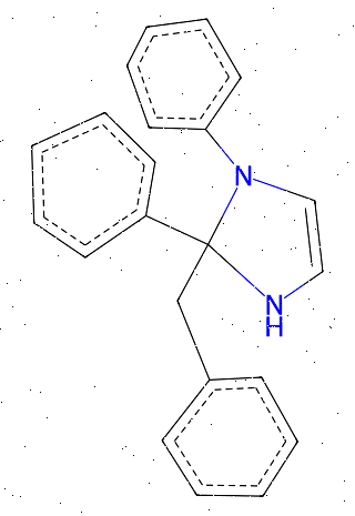 C1=CN(c2ccccc2)C(Cc2ccccc2)(c2ccccc2)N1